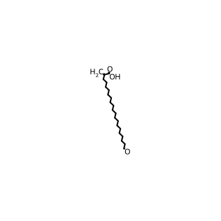 C=C(CCCCCCCCCCCCCCCCCCC=O)C(=O)O